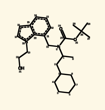 CC(CC1CCCCC1)N(Cc1cccc2ccn(CCO)c12)C(=O)OC(C)(C)C